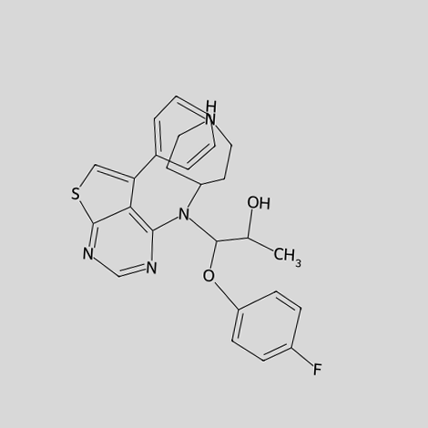 CC(O)C(Oc1ccc(F)cc1)N(c1ncnc2scc(-c3ccccc3)c12)C1CCNCC1